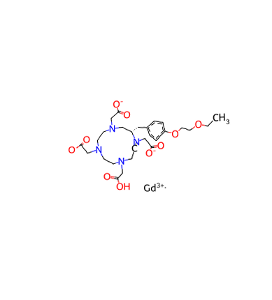 CCOCCOc1ccc(C[C@H]2CN(CC(=O)[O-])CCN(CC(=O)[O-])CCN(CC(=O)O)CCN2CC(=O)[O-])cc1.[Gd+3]